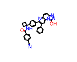 N#Cc1ccc(C(=O)NC2(c3ccc(-c4nc5ccc6nnc(O)n6c5cc4-c4ccccc4)cc3)CCC2)cc1